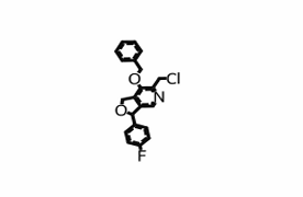 Fc1ccc(C2OCc3c2cnc(CCl)c3OCc2ccccc2)cc1